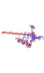 CC[C@H](C)[C@@H]([C@@H](CC(=O)N1CCC[C@H]1[C@H](OC)[C@@H](C)C(=O)N[C@H](C)[C@@H](O)c1ccccc1)OC)N(C)C(=O)[C@H](NC(=O)[C@H](C(C)C)N(C)C(=O)OCc1ccc(NC(=O)C(CCCNC(N)=O)NC(=O)[C@@H](NC(=O)C2C[C@@H](OC(=O)NCCC(=O)NCCOCCOCCOCCOCCOCCOCCOCCOC)CN2C(=O)CCCCCN2C(=O)C=CC2=O)C(C)C)cc1)C(C)C